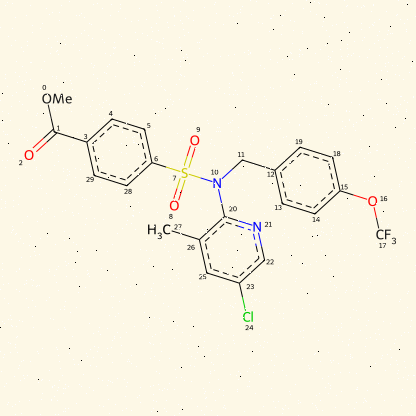 COC(=O)c1ccc(S(=O)(=O)N(Cc2ccc(OC(F)(F)F)cc2)c2ncc(Cl)cc2C)cc1